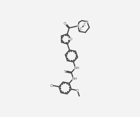 COc1ccc(Cl)cc1NC(=S)Nc1ccc(-c2ccc(C(=O)N3CCN4CCC3CC4)o2)cc1